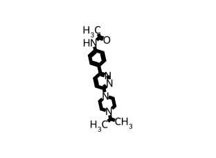 CC(=O)Nc1ccc(-c2ccc(N3CCN(C(C)C)CC3)nn2)cc1